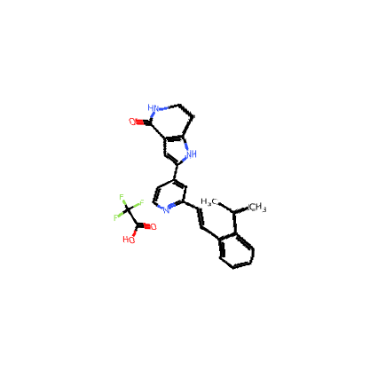 CC(C)c1ccccc1C=Cc1cc(-c2cc3c([nH]2)CCNC3=O)ccn1.O=C(O)C(F)(F)F